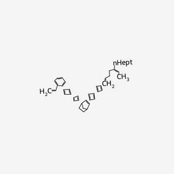 C1=CC2CCC1C2.C1=CC=C1.C1=CC=C1.C1=CC=C1.C1=CC=C1.C=CCCC(=CC)CCCCCCC.C=Cc1ccccc1